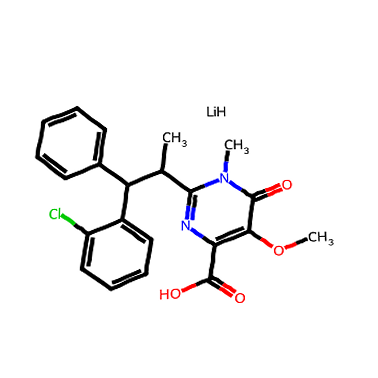 COc1c(C(=O)O)nc(C(C)C(c2ccccc2)c2ccccc2Cl)n(C)c1=O.[LiH]